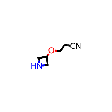 N#CCCOC1CNC1